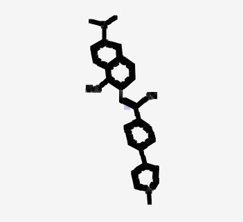 COc1c(/C=C(\C#N)c2ccc(-c3cc[n+](C)cc3)cc2)ccc2cc(N(C)C)ccc12